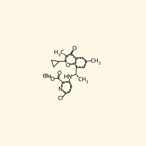 Cc1cc([C@@H](C)Nc2ccc(Cl)nc2C(=O)OC(C)(C)C)c2oc(C3CC3)c(C)c(=O)c2c1